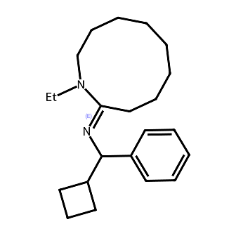 CCN1CCCCCCCC/C1=N\C(c1ccccc1)C1CCC1